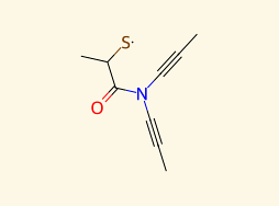 CC#CN(C#CC)C(=O)C(C)[S]